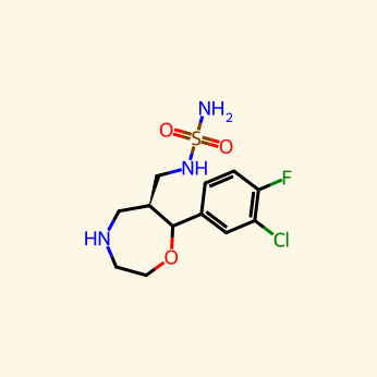 NS(=O)(=O)NC[C@@H]1CNCCOC1c1ccc(F)c(Cl)c1